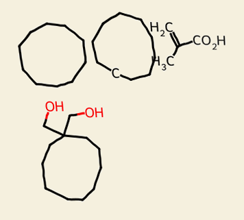 C1CCCCCCCCC1.C1CCCCCCCCC1.C=C(C)C(=O)O.OCC1(CO)CCCCCCCCC1